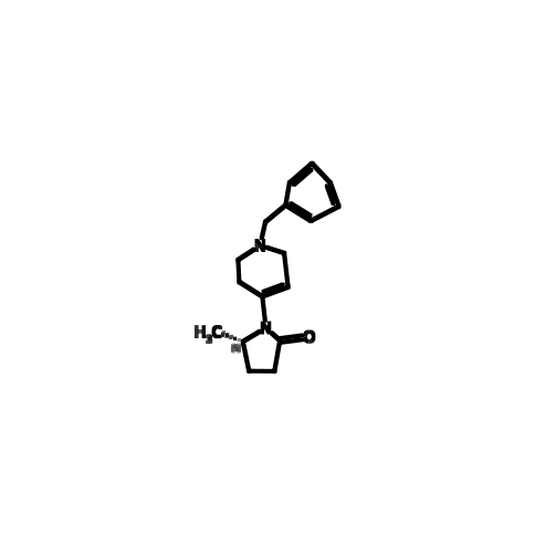 C[C@H]1CCC(=O)N1C1=CCN(Cc2ccccc2)CC1